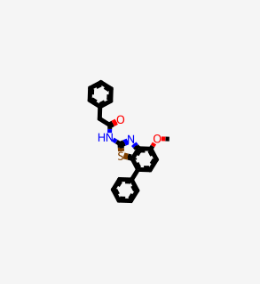 COc1ccc(-c2ccccc2)c2sc(NC(=O)Cc3ccccc3)nc12